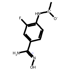 C[S+]([O-])Nc1ccc(/C(N)=N/O)cc1F